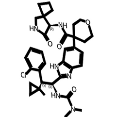 CN(C)C(=O)N[C@H](c1nc2ccc(C3(C(=O)N[C@H]4C(=O)NCC45CCC5)CCOCC3)cc2[nH]1)[C@H](c1ccccc1Cl)C1(C)CC1